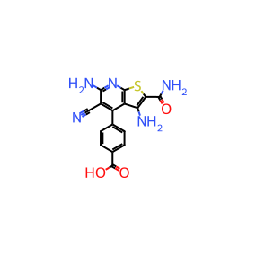 N#Cc1c(N)nc2sc(C(N)=O)c(N)c2c1-c1ccc(C(=O)O)cc1